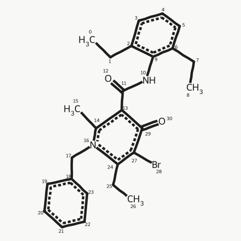 CCc1cccc(CC)c1NC(=O)c1c(C)n(Cc2ccccc2)c(CC)c(Br)c1=O